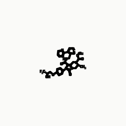 CC1Cn2c(c(C(=O)NCc3ccccc3-c3ncccn3)n(-c3ccc(OC[C@@H](O)C(F)(F)F)cc3)c2=O)CN1C(=O)OC(C)(C)C